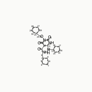 O=C(NCc1ccccc1)c1c(Nc2ccccc2)[nH]c(=O)n(OCc2ccccc2)c1=O